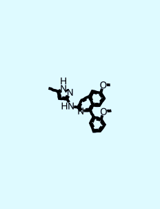 COc1ccc2c(-c3ccccc3OC)nc(Nc3cc(C)[nH]n3)cc2c1